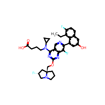 CCc1c(F)ccc2cc(O)cc(-c3ncc4c(N(CCCC(=O)O)C5CC5)nc(OC[C@@]56CCCN5C[C@H](F)C6)nc4c3F)c12